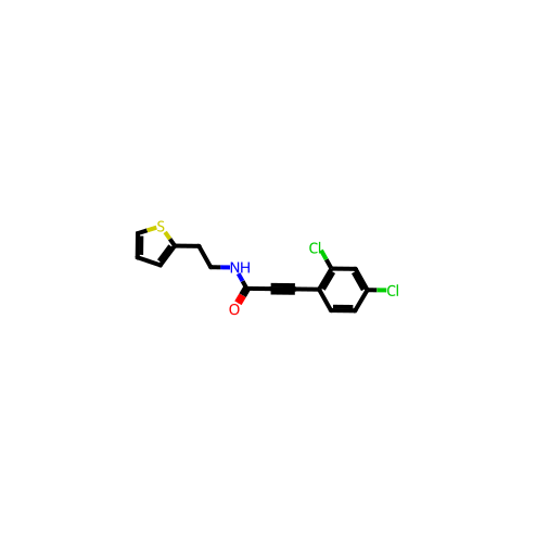 O=C(C#Cc1ccc(Cl)cc1Cl)NCCc1cccs1